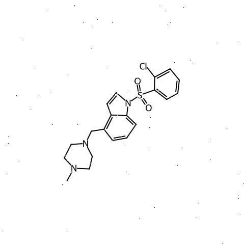 CN1CCN(Cc2cccc3c2ccn3S(=O)(=O)c2ccccc2Cl)CC1